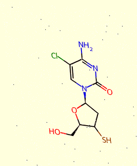 Nc1nc(=O)n([C@H]2CC(S)[C@@H](CO)O2)cc1Cl